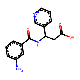 Nc1cccc(C(=O)NC(CC(=O)O)c2cccnc2)c1